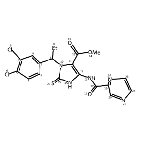 CCC(c1ccc(Cl)c(Cl)c1)n1c(C(=O)OC)c(NC(=O)c2cnccn2)[nH]c1=S